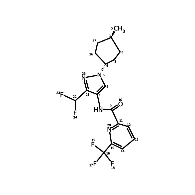 C[C@H]1CC[C@H](n2cc(NC(=O)c3cccc(C(F)(F)F)n3)c(C(F)F)n2)CC1